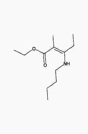 CCCCNC(CC)=C(C)C(=O)OCC